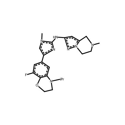 CC(C)N1CCOc2c(F)cc(-c3cn(C)c(Nc4cc5n(n4)CCN(C)C5)n3)cc21